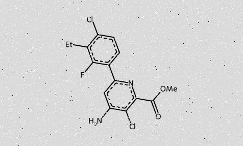 CCc1c(Cl)ccc(-c2cc(N)c(Cl)c(C(=O)OC)n2)c1F